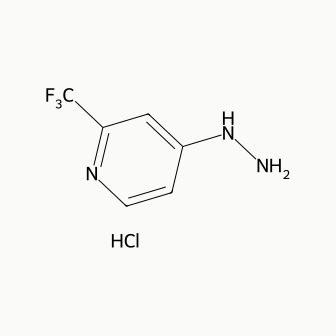 Cl.NNc1ccnc(C(F)(F)F)c1